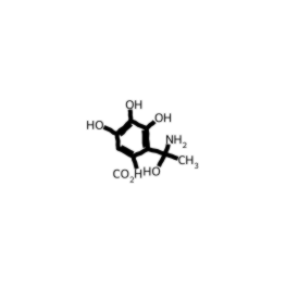 CC(N)(O)c1c(C(=O)O)cc(O)c(O)c1O